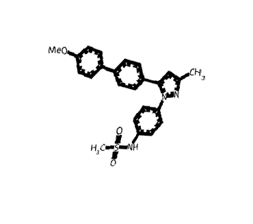 COc1ccc(-c2ccc(-c3cc(C)nn3-c3ccc(NS(C)(=O)=O)cc3)cc2)cc1